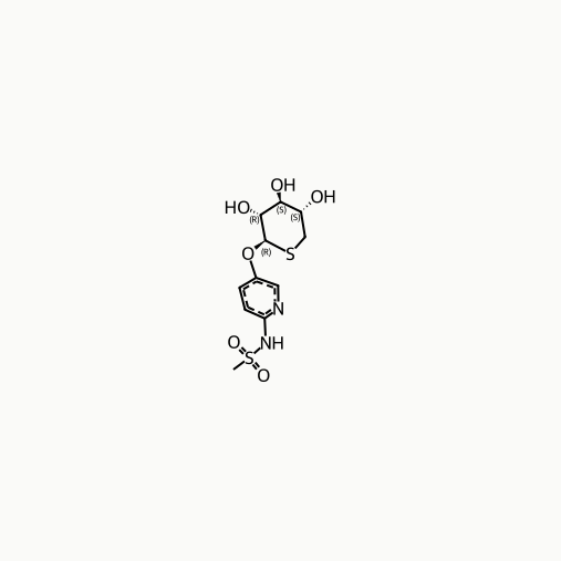 CS(=O)(=O)Nc1ccc(O[C@@H]2SC[C@@H](O)[C@H](O)[C@H]2O)cn1